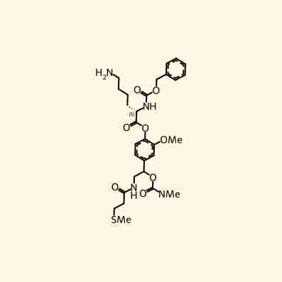 CNC(=O)OC(CNC(=O)CCSC)c1ccc(OC(=O)[C@H](CCCCN)NC(=O)OCc2ccccc2)c(OC)c1